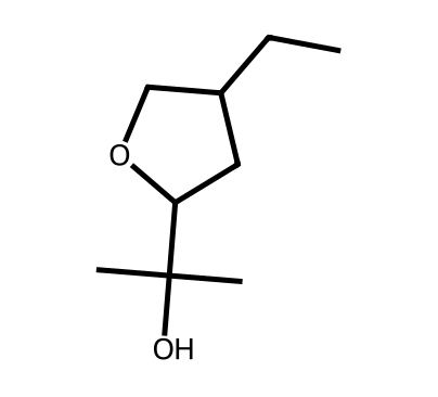 CCC1COC(C(C)(C)O)C1